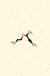 [CH2]CCOC(C)C#CC